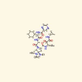 CCCCC(NC(=O)[C@@H]1CC(N(C)CCCC)(N(C=O)CC)CN1C(=O)CNC(=O)[C@@H](NC(=O)c1cnccn1)C1CCCCC1)C(=O)C(=O)NC1CC1